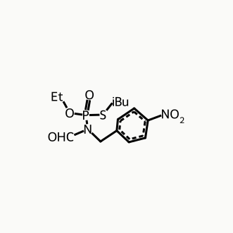 CCOP(=O)(SC(C)CC)N(C=O)Cc1ccc([N+](=O)[O-])cc1